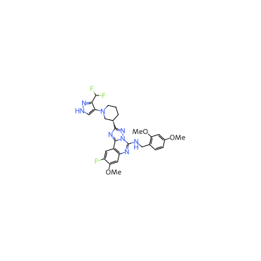 COc1ccc(CNc2nc3cc(OC)c(F)cc3c3nc([C@@H]4CCCN(c5c[nH]nc5C(F)F)C4)nn23)c(OC)c1